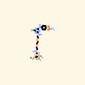 CC(C)(C)OC(=O)NCCOCCOCCNc1nc(Cl)nc(Nc2ccc(S(N)(=O)=O)cc2)n1